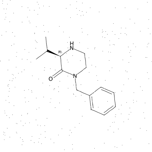 CC(C)[C@H]1NCCN(Cc2ccccc2)C1=O